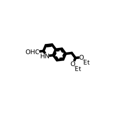 CCOC(Cc1ccc2c(c1)C=CC(C=O)N2)OCC